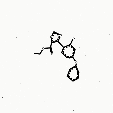 CCOC(=O)c1ncoc1-c1ccc(Oc2ccccc2)cc1Br